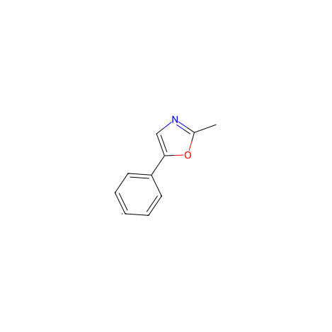 Cc1ncc(-c2cc[c]cc2)o1